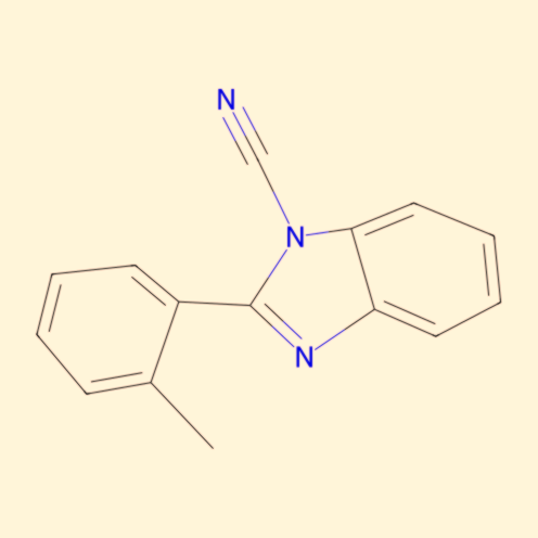 Cc1ccccc1-c1nc2ccccc2n1C#N